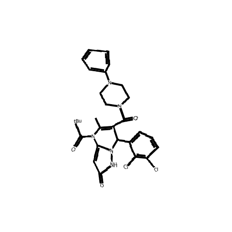 CC1=C(C(=O)N2CCN(c3ccccc3)CC2)C(c2cccc(Cl)c2Cl)n2[nH]c(=O)cc2N1C(=O)C(C)(C)C